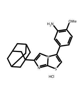 COc1ccc(-c2csc3nc(C45CC6CC(CC(C6)C4)C5)cn23)cc1N.Cl